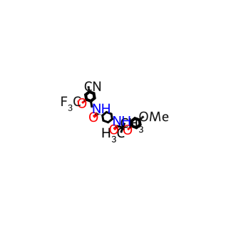 COc1ccc(OC(C)(C)C(=O)N[C@H]2CC[C@@H](C(=O)NCc3ccc(C#N)cc3OC(F)(F)F)CC2)cc1